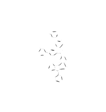 c1ccc(-c2ccc(C[C@@H](c3ccc(-c4ccccc4)cc3)c3ccc4ccc5c(c4c3)c3ccccc3n5-c3ccccc3)cc2)cc1